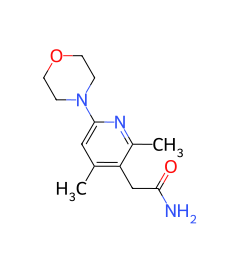 Cc1cc(N2CCOCC2)nc(C)c1CC(N)=O